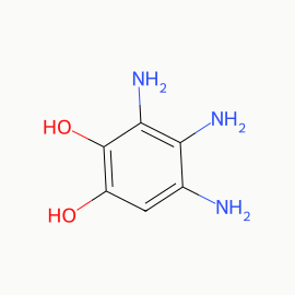 Nc1cc(O)c(O)c(N)c1N